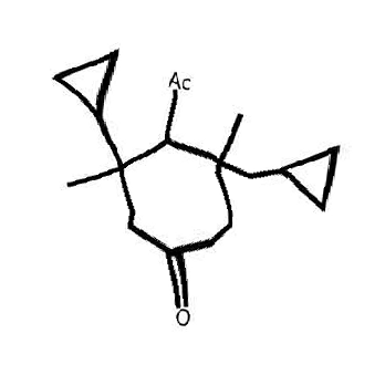 CC(=O)C1C(C)(C2CC2)CC(=O)CC1(C)C1CC1